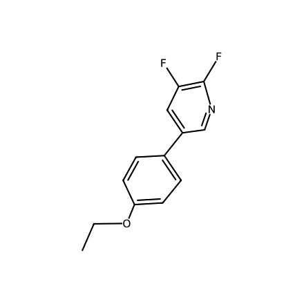 CCOc1ccc(-c2cnc(F)c(F)c2)cc1